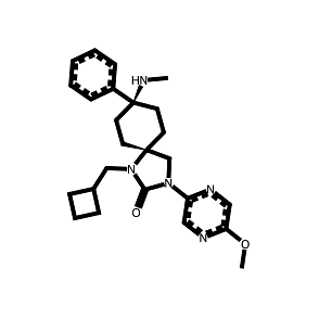 CN[C@]1(c2ccccc2)CC[C@@]2(CC1)CN(c1cnc(OC)cn1)C(=O)N2CC1CCC1